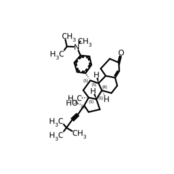 CC(C)N(C)c1ccc([C@H]2C[C@@]3(C)[C@@H](CC[C@@]3(O)C#CC(C)(C)C)[C@@H]3CCC4=CC(=O)CCC4[C@H]32)cc1